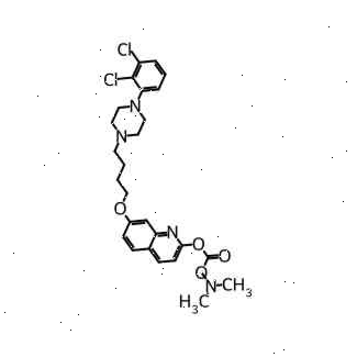 CN(C)OC(=O)Oc1ccc2ccc(OCCCCN3CCN(c4cccc(Cl)c4Cl)CC3)cc2n1